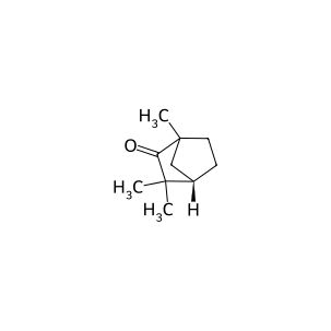 CC12CC[C@@H](C1)C(C)(C)C2=O